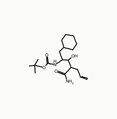 C=CCC(C(N)=O)C(O)C(CC1CCCCC1)NC(=O)OC(C)(C)C